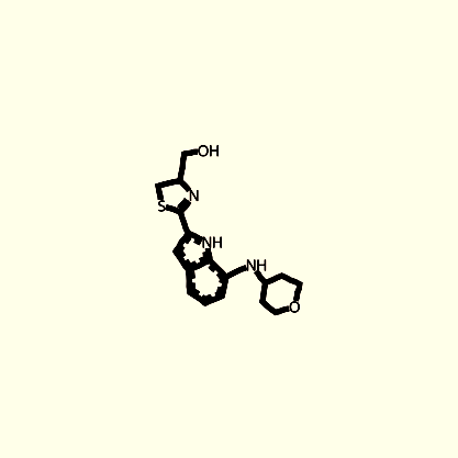 OCC1CSC(c2cc3cccc(NC4CCOCC4)c3[nH]2)=N1